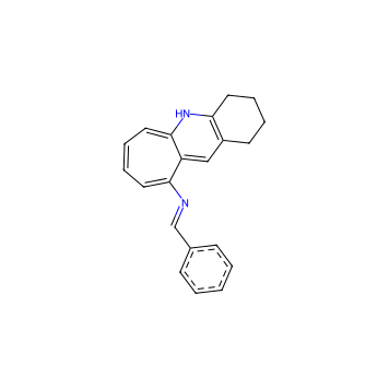 C1=CC=C2NC3=C(C=C2C(N=Cc2ccccc2)=C1)CCCC3